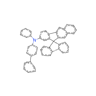 c1ccc(-c2ccc(N(c3ccccc3)c3ccc4c(c3)C3(c5ccccc5-c5ccccc53)c3cc5ccccc5cc3-4)cc2)cc1